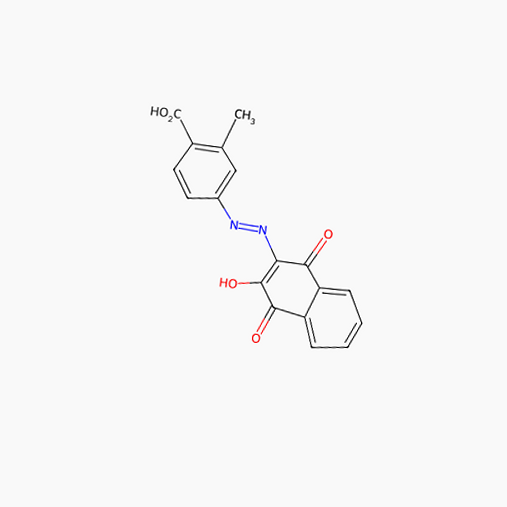 Cc1cc(/N=N/C2=C(O)C(=O)c3ccccc3C2=O)ccc1C(=O)O